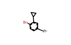 C[C](C)c1ccc(Br)c(C2CC2)c1